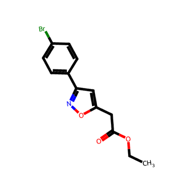 CCOC(=O)Cc1cc(-c2ccc(Br)cc2)no1